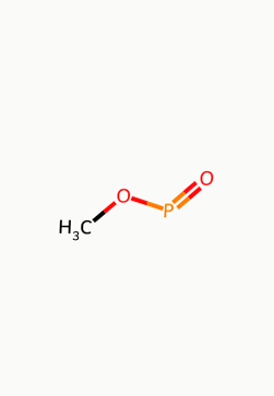 COP=O